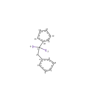 IC(I)(Cc1ccccc1)c1ccccc1